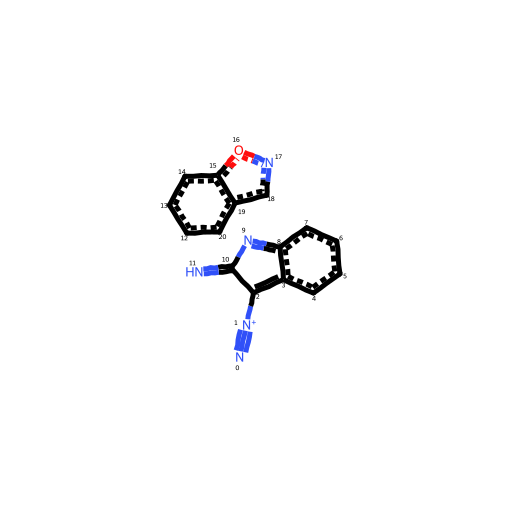 N#[N+]C1=c2ccccc2=NC1=N.c1ccc2oncc2c1